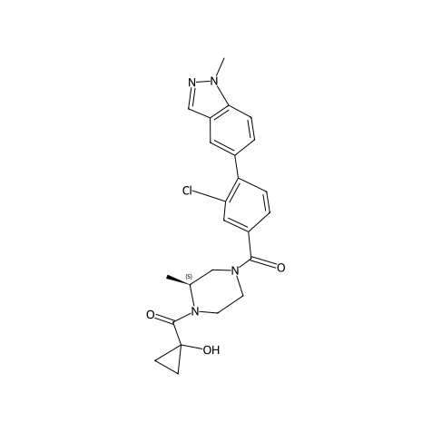 C[C@H]1CN(C(=O)c2ccc(-c3ccc4c(cnn4C)c3)c(Cl)c2)CCN1C(=O)C1(O)CC1